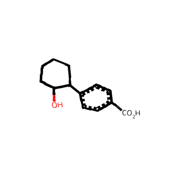 O=C(O)c1ccc(C2CCCCC2O)cc1